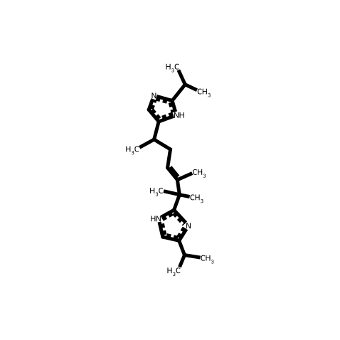 C/C(=C\CC(C)c1cnc(C(C)C)[nH]1)C(C)(C)c1nc(C(C)C)c[nH]1